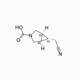 N#CC[C@@H]1[C@H]2CN(C(=O)O)C[C@@H]12